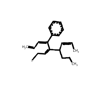 C=C/C=C(\C(=C/CI)C(/C=C\C)CCC)c1ccccc1